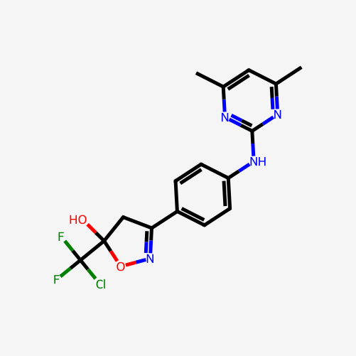 Cc1cc(C)nc(Nc2ccc(C3=NOC(O)(C(F)(F)Cl)C3)cc2)n1